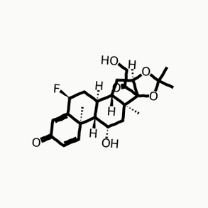 CC1(C)O[C@@H]2C[C@H]3[C@@H]4C[C@H](F)C5=CC(=O)C=C[C@]5(C)[C@H]4[C@@H](O)C[C@]3(C)C2(C(=O)CO)O1